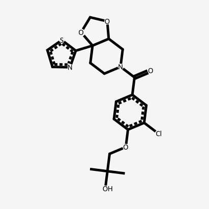 CC(C)(O)COc1ccc(C(=O)N2CCC3(c4nccs4)OCOC3C2)cc1Cl